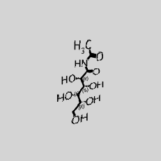 CC(=O)NC(=O)[C@H](O)[C@@H](O)[C@@H](O)[C@H](O)CO